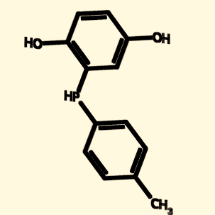 Cc1ccc(Pc2cc(O)ccc2O)cc1